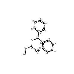 CCC(O)CC(c1ccccc1)c1ccccc1